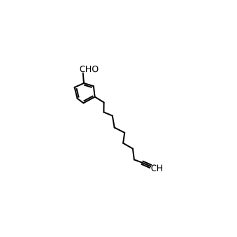 C#CCCCCCCCCc1cccc(C=O)c1